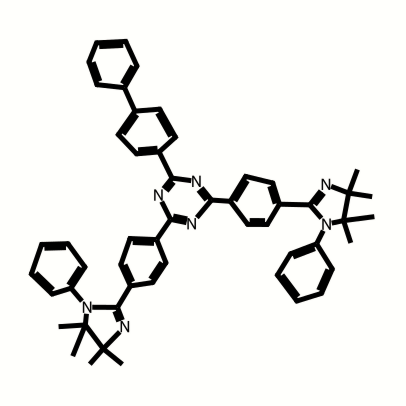 CC1(C)N=C(c2ccc(-c3nc(-c4ccc(C5=NC(C)(C)C(C)(C)N5c5ccccc5)cc4)nc(-c4ccc(-c5ccccc5)cc4)n3)cc2)N(c2ccccc2)C1(C)C